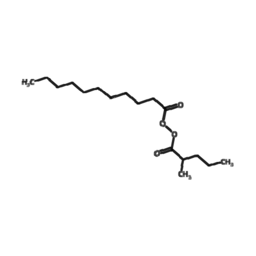 CCCCCCCCCCC(=O)OOC(=O)C(C)CCC